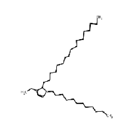 CCCCCCCCCCCCCCCCCC1N(CC)C=CN1CCCCCCCCCCCC